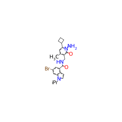 Cc1cc(C2CCC2)n(N)c(=O)c1CNC(=O)c1cc(Br)cc2c1ccn2C(C)C